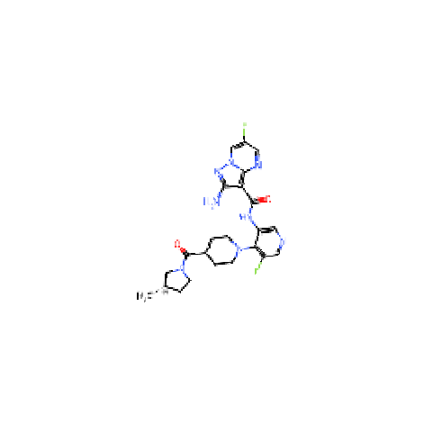 C[C@H]1CCN(C(=O)C2CCN(c3c(F)cncc3NC(=O)c3c(N)nn4cc(F)cnc34)CC2)C1